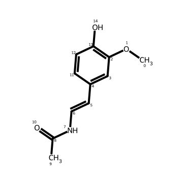 COc1cc(/C=C/NC(C)=O)ccc1O